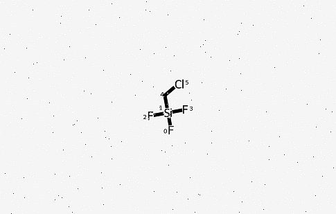 F[Si](F)(F)CCl